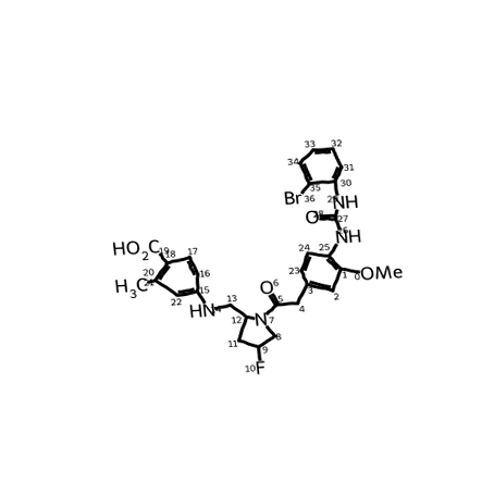 COc1cc(CC(=O)N2CC(F)CC2CNc2ccc(C(=O)O)c(C)c2)ccc1NC(=O)Nc1ccccc1Br